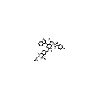 Cc1ccc(S(=O)(=O)n2cc(F)c3c(-c4cn(C)c5ccccc45)nc(Nc4ccc(N(C)CCN(C)C)c([N+](=O)[O-])c4)nc32)cc1